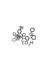 O=C(O)CC(NC(=O)c1cc(Br)ccc1NC(=O)C1CCCC1)c1ccc(-c2ccccc2Oc2ccccc2)cc1